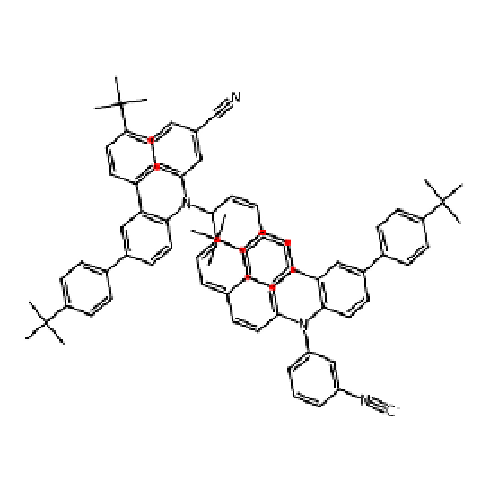 [C-]#[N+]c1cccc(N(C2=C3C=CC4=C5C(=CC=C(C=C2)C35)C(N(c2cccc(C#N)c2)c2ccc(-c3ccc(C(C)(C)C)cc3)cc2-c2ccc(C(C)(C)C)cc2)C=C4)c2ccc(-c3ccc(C(C)(C)C)cc3)cc2-c2ccc(C(C)(C)C)cc2)c1